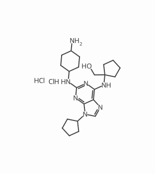 Cl.Cl.NC1CCC(Nc2nc(NC3(CO)CCCC3)c3ncn(C4CCCC4)c3n2)CC1